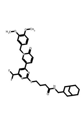 COc1ccc(Cn2cc(-c3cc(C(F)F)nc(SCCCC(=O)NCC4CC5CCCC(C5)C4)n3)ccc2=O)cc1OC